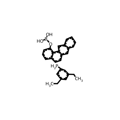 CCc1cc(P)cc(CC)c1.OB(O)Oc1cccc2ccc3cc4ccccc4cc3c12